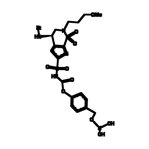 CCN[C@H]1CN(CCCOC)S(=O)(=O)c2sc(S(=O)(=O)NC(=O)Oc3ccc(CON(O)O)cc3)cc21